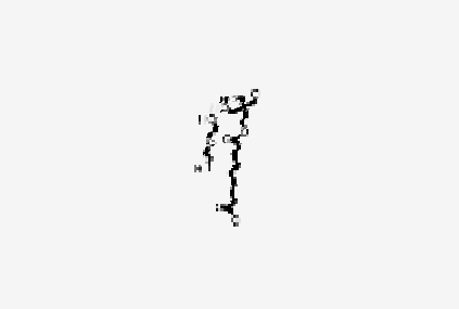 O=C(O)CCCCCCCC(=O)OCCC(CO)(CO)CO.OCCOCCO